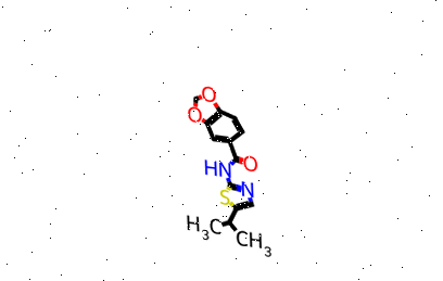 CC(C)c1cnc(NC(=O)c2ccc3c(c2)OCO3)s1